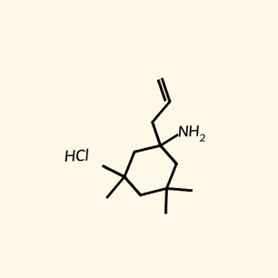 C=CCC1(N)CC(C)(C)CC(C)(C)C1.Cl